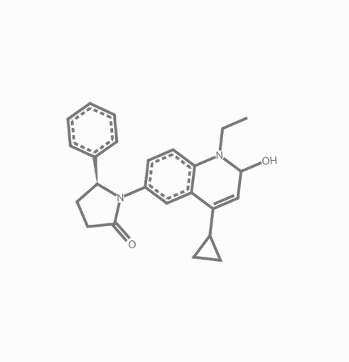 CCN1c2ccc(N3C(=O)CC[C@H]3c3ccccc3)cc2C(C2CC2)=CC1O